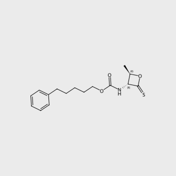 C[C@H]1OC(=S)[C@@H]1NC(=O)OCCCCCc1ccccc1